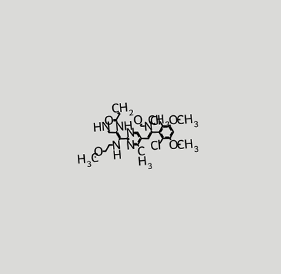 C=CC(=O)N/C(C=N)=C(/NCCOC)c1ncc(/C=C(/c2c(Cl)c(OC)cc(OC)c2Cl)N(C)C=O)c(C)n1